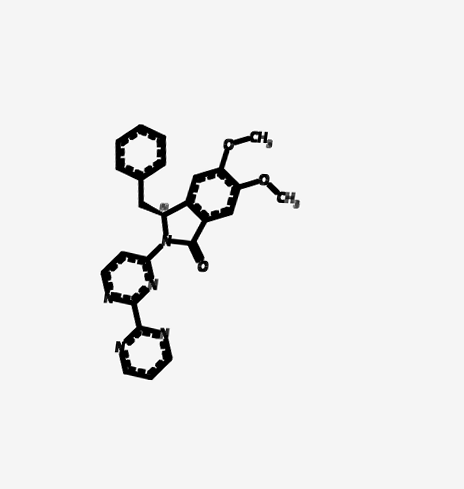 COc1cc2c(cc1OC)[C@H](Cc1ccccc1)N(c1ccnc(-c3ncccn3)n1)C2=O